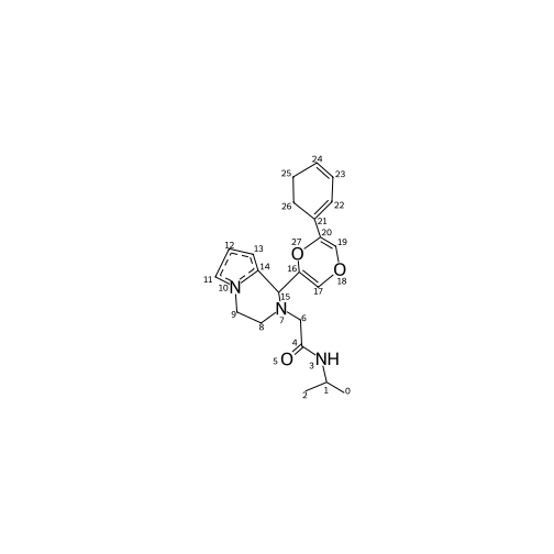 CC(C)NC(=O)CN1CCn2cccc2C1C1=COC=C(C2=CC=CCC2)O1